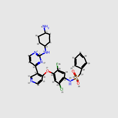 NC1CCC(Nc2nccc(-c3cnccc3Oc3cc(Cl)c(NS(=O)(=O)Cc4ccccc4)cc3F)n2)CC1